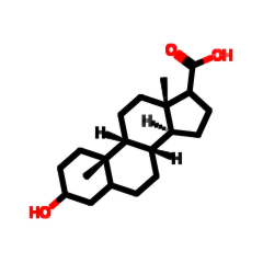 C[C@]12CCC(O)CC1CC[C@@H]1[C@H]2CC[C@]2(C)C(C(=O)O)CC[C@@H]12